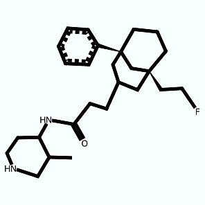 CC1CNCCC1NC(=O)CCC1C[C@@]2(CCF)CCC[C@@](c3ccccc3)(C1)C2